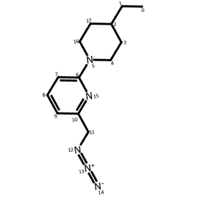 CCC1CCN(c2cccc(CN=[N+]=[N-])n2)CC1